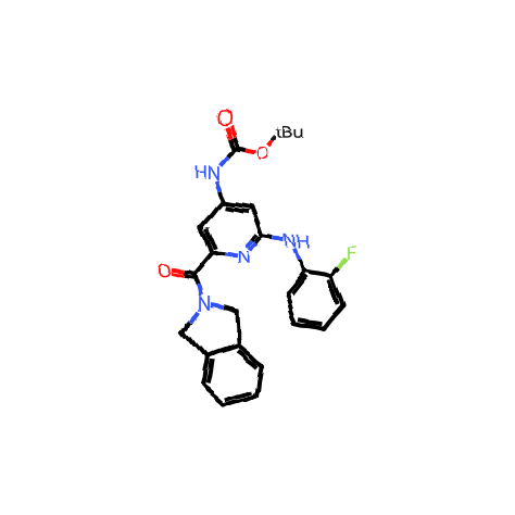 CC(C)(C)OC(=O)Nc1cc(Nc2ccccc2F)nc(C(=O)N2Cc3ccccc3C2)c1